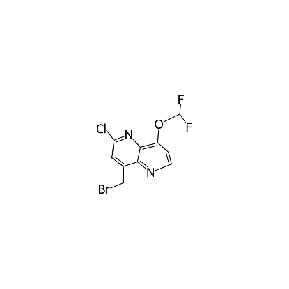 FC(F)Oc1ccnc2c(CBr)cc(Cl)nc12